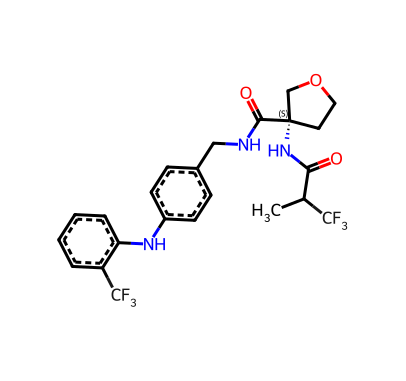 CC(C(=O)N[C@@]1(C(=O)NCc2ccc(Nc3ccccc3C(F)(F)F)cc2)CCOC1)C(F)(F)F